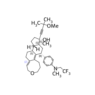 COC(C)(C)C#C[C@]1(O)CC[C@H]2[C@@H]3CC/C4=C/COCCCC4=C3[C@@H](c3ccc(N(C)CC(F)(F)F)cc3)C[C@@]21C